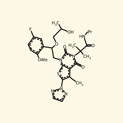 COc1ccc(F)cc1C(Cn1c(=O)n(C(C)(C)C(=O)NC(C)C)c(=O)c2c(C)c(-n3nccn3)sc21)OCC(C)O